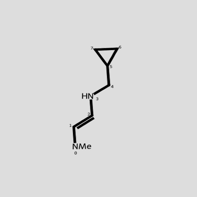 CNC=CNCC1CC1